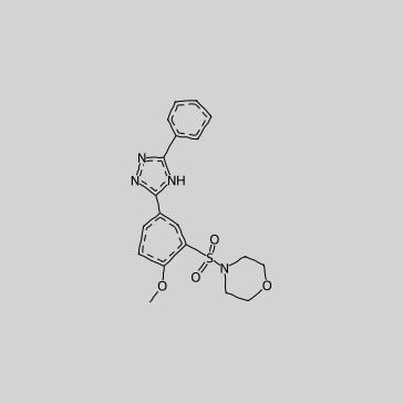 COc1ccc(-c2nnc(-c3ccccc3)[nH]2)cc1S(=O)(=O)N1CCOCC1